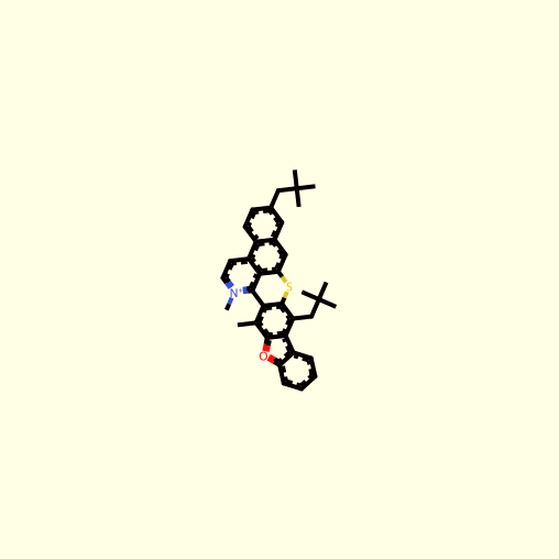 Cc1c2c(c(CC(C)(C)C)c3c1oc1ccccc13)Sc1cc3cc(CC(C)(C)C)ccc3c3cc[n+](C)c-2c13